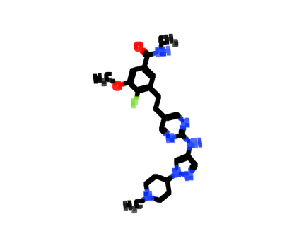 CNC(=O)c1cc(CCc2cnc(Nc3cnn(C4CCN(C)CC4)c3)nc2)c(F)c(OC)c1